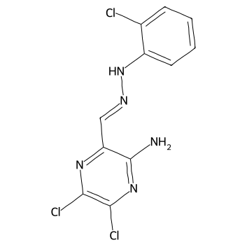 Nc1nc(Cl)c(Cl)nc1/C=N/Nc1ccccc1Cl